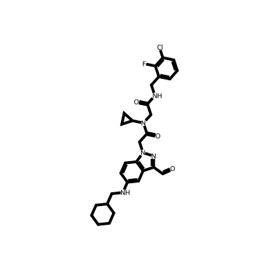 O=Cc1nn(CC(=O)N(CC(=O)NCc2cccc(Cl)c2F)C2CC2)c2ccc(NCC3CCCCC3)cc12